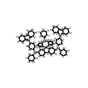 c1ccc(N(c2ccc(-n3c4ccccc4c4ccccc43)cc2)c2ccc3c(c2)C2(c4cc(N(c5ccccc5)c5ccc(-n6c7ccccc7c7ccccc76)cc5)ccc4-3)c3ccccc3N(c3ccccc3)c3ccccc32)cc1